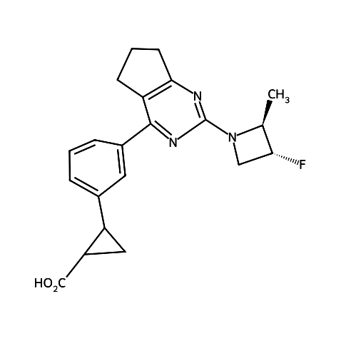 C[C@H]1[C@H](F)CN1c1nc2c(c(-c3cccc(C4CC4C(=O)O)c3)n1)CCC2